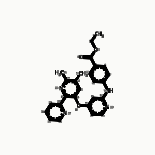 CCOC(=O)c1ccc(Nc2cc(Oc3cc(C)c(C)nc3-c3ccccn3)ccn2)cc1